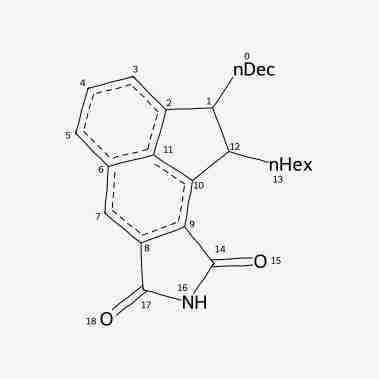 CCCCCCCCCCC1c2cccc3cc4c(c(c23)C1CCCCCC)C(=O)NC4=O